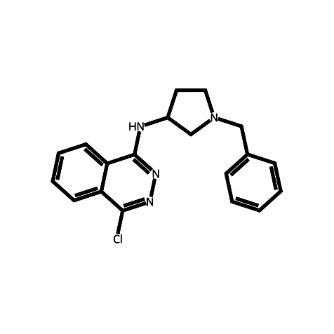 Clc1nnc(NC2CCN(Cc3ccccc3)C2)c2ccccc12